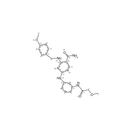 COCC(=O)Nc1cccc(Nc2ncc(C(N)=O)c(NCc3ccc(OC)cc3)n2)c1